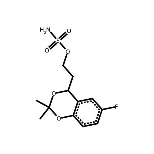 CC1(C)Oc2ccc(F)cc2C(CCOS(N)(=O)=O)O1